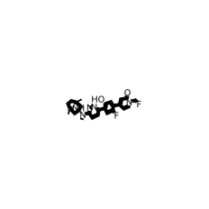 CN(c1ccc(-c2cc(F)c(-c3ccn(CF)c(=O)c3)cc2O)nn1)[C@@H]1C[C@]2(C)CC[C@](C)(C1)N2